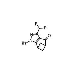 CC(C)n1nc(C(F)F)c2c1C1CC(C1)C2=O